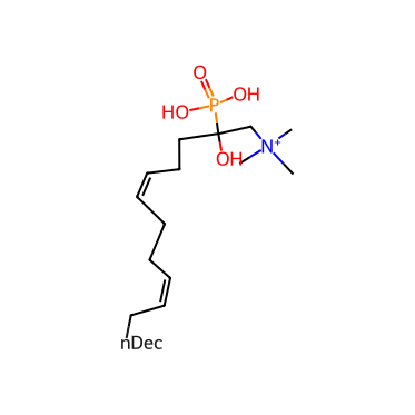 CCCCCCCCCCC/C=C\CC/C=C\CCC(O)(C[N+](C)(C)C)P(=O)(O)O